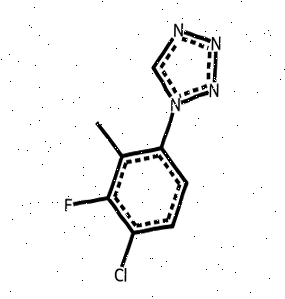 Cc1c(-n2cnnn2)ccc(Cl)c1F